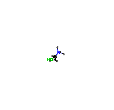 CN(C)[AsH2].Cl